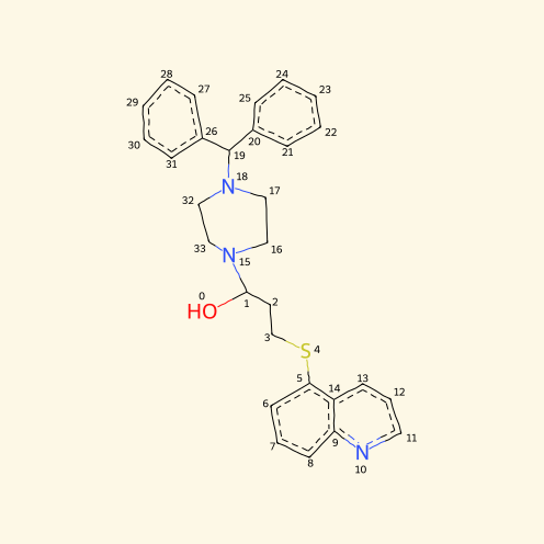 OC(CCSc1cccc2ncccc12)N1CCN(C(c2ccccc2)c2ccccc2)CC1